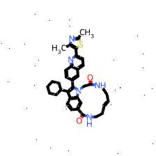 Cc1nc(C)c(-c2ccc3cc(-c4c(C5CCCCC5)c5ccc6cc5n4CC(=O)NCC/C=C/CCNC6=O)ccc3n2)s1